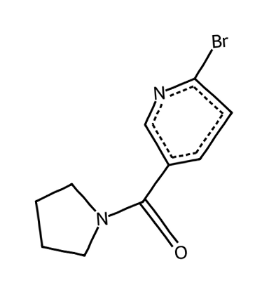 O=C(c1ccc(Br)nc1)N1CCCC1